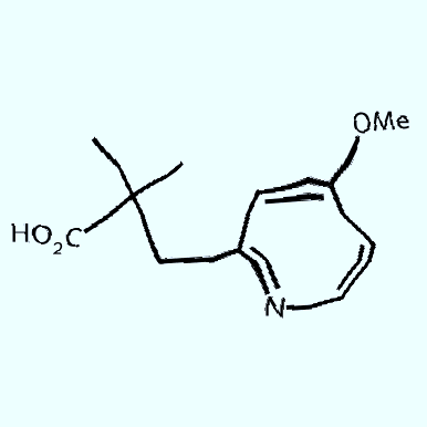 COc1ccnc(CC(C)(C)C(=O)O)c1